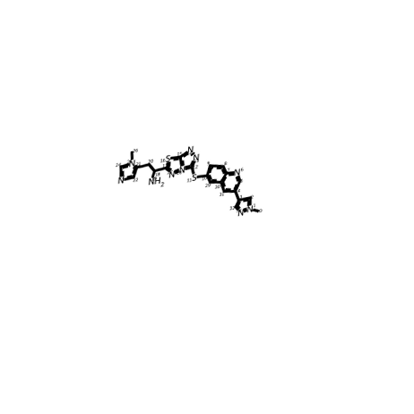 Cn1cc(-c2cnc3ccc(Sc4nnc5sc(C(N)Cc6cncn6C)nn45)cc3c2)cn1